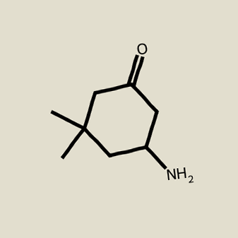 CC1(C)CC(=O)CC(N)C1